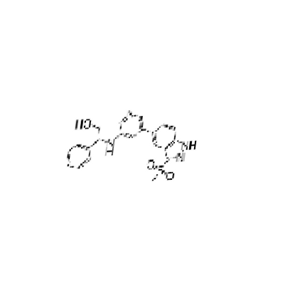 CS(=O)(=O)c1n[nH]c2ccc(-c3cncc(NC(CO)c4ccccc4)c3)cc12